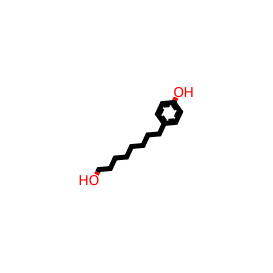 OCCCCCCCCc1ccc(O)cc1